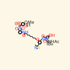 CCOc1cc([C@@H](CS(C)(=O)=O)N2C(=O)c3cccc(NC(=O)CCCCCCCCOc4cc(-c5scnc5C)ccc4CNC(=O)[C@@H]4C[C@@H](O)CN4C(=O)[C@@H](NC(C)=O)C(C)(C)C)c3C2=O)ccc1OC